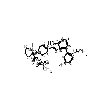 COc1ccc(F)cc1-c1ccnc2[nH]c(C3=CCN([C@@]4(C(=O)OS(C)(=O)=O)CCCN4)CC3)cc12